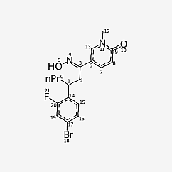 CCCC(C/C(=N\O)c1ccc(=O)n(C)c1)c1ccc(Br)cc1F